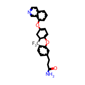 NC(=O)CCc1cccc(OC2=CC=C(Oc3cccc4ccncc34)CC2C(F)(F)F)c1